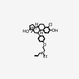 C=CCN(CC)CCOc1ccc([C@H]2C[C@]3(C)[C@@H](O)CC[C@H]3[C@@H]3CCc4c(ccc(O)c4Cl)[C@H]32)cc1